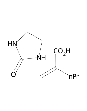 C=C(CCC)C(=O)O.O=C1NCCN1